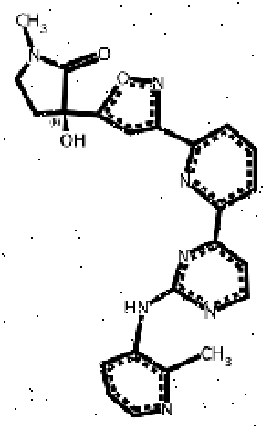 Cc1ncccc1Nc1nccc(-c2cccc(-c3cc([C@]4(O)CCN(C)C4=O)on3)n2)n1